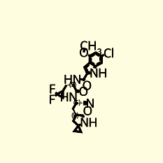 COc1cc(Cl)cc2[nH]c(C(=O)N[C@@H](CC3CC3(F)F)C(=O)N[C@H](C#N)C[C@@H]3CC4(CC4)NC3=O)cc12